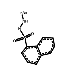 CCCCN[N]S(=O)(=O)c1cccc2ccccc12